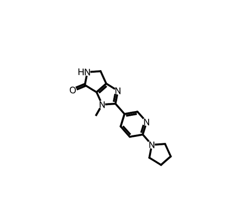 Cn1c(-c2ccc(N3CCCC3)nc2)nc2c1C(=O)NC2